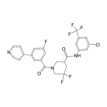 O=C(Nc1cc(Cl)cc(C(F)(F)F)c1)C1CN(C(=O)c2cc(F)cc(-c3ccncc3)c2)CC(F)(F)C1